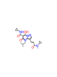 CC(C)Cn1c(=O)c(C(=O)NC2CC2)c(O)n2ncc(C=CC(=O)N(C)C3CC3)c12